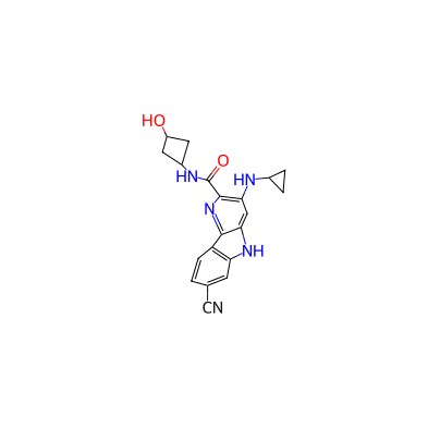 N#Cc1ccc2c(c1)[nH]c1cc(NC3CC3)c(C(=O)NC3CC(O)C3)nc12